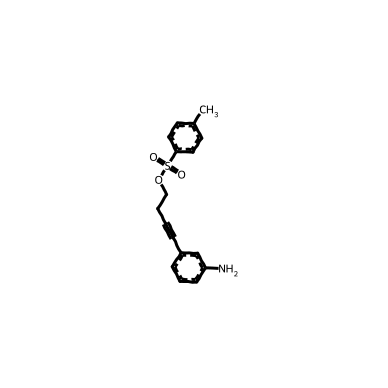 Cc1ccc(S(=O)(=O)OCCC#Cc2cccc(N)c2)cc1